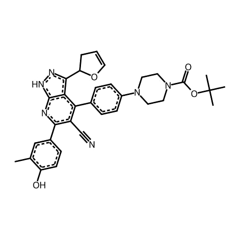 Cc1cc(-c2nc3[nH]nc(C4CC=CO4)c3c(-c3ccc(N4CCN(C(=O)OC(C)(C)C)CC4)cc3)c2C#N)ccc1O